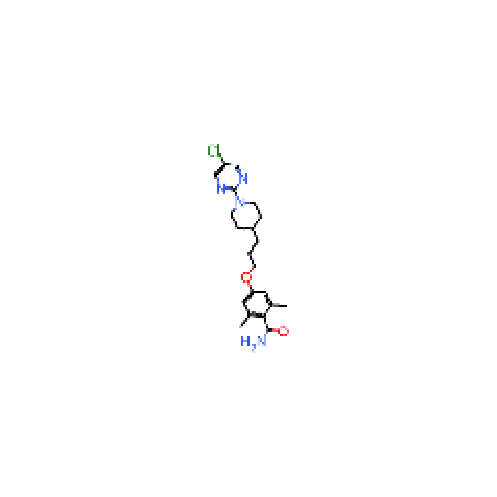 Cc1cc(OCCCC2CCN(c3ncc(Cl)cn3)CC2)cc(C)c1C(N)=O